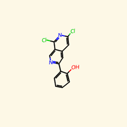 Oc1ccccc1-c1cc2cc(Cl)nc(Cl)c2cn1